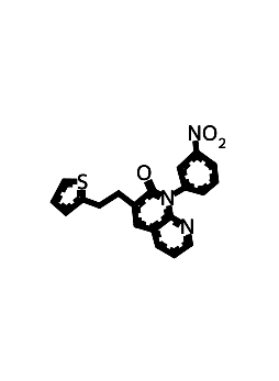 O=c1c(CCc2cccs2)cc2cccnc2n1-c1cccc([N+](=O)[O-])c1